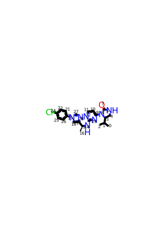 CC(C)C1CNC(=O)N1c1ccnc(N[C@@H](C)c2cn(-c3ccc(Cl)cc3)cn2)n1